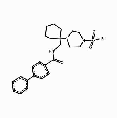 CCCS(=O)(=O)N1CCN(C2(CNC(=O)c3ccc(-c4ccccc4)cc3)CCCCC2)CC1